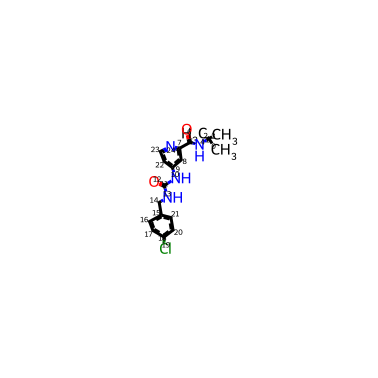 CC(C)(C)NC(=O)c1cc(NC(=O)NCc2ccc(Cl)cc2)ccn1